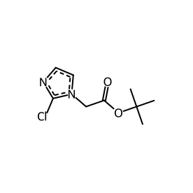 CC(C)(C)OC(=O)Cn1ccnc1Cl